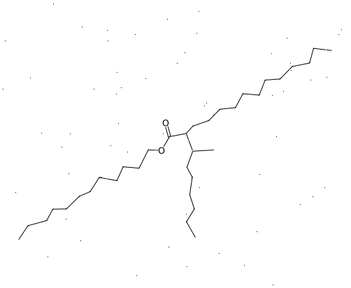 CCCCCCCCCCCCOC(=O)C(CCCCCCCCCCCC)C(C)CCCCCC